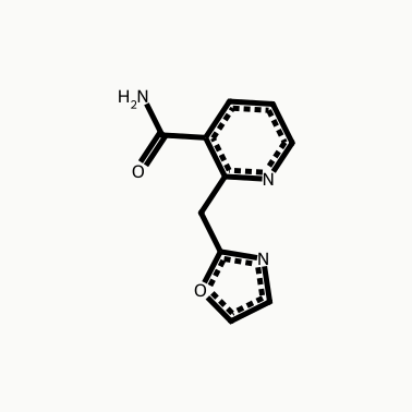 NC(=O)c1cccnc1Cc1ncco1